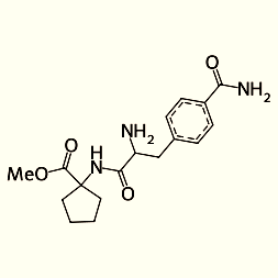 COC(=O)C1(NC(=O)C(N)Cc2ccc(C(N)=O)cc2)CCCC1